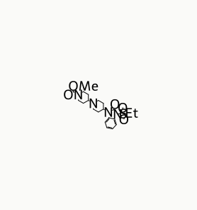 CCS(=O)(=O)n1c(=O)n(C2CCN(C3CCN(C(=O)OC)CC3)CC2)c2ccccc21